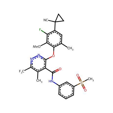 COc1c(F)c(C2(C#N)CC2)cc(C)c1Oc1nnc(C(F)(F)F)c(C)c1C(=O)Nc1cccc(S(C)(=O)=O)c1